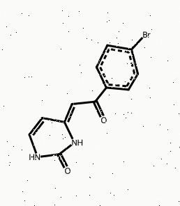 O=C1NC=CC(=CC(=O)c2ccc(Br)cc2)N1